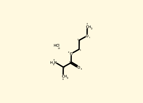 COCCOC(=O)C(C)N.Cl